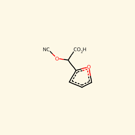 N#COC(C(=O)O)c1ccco1